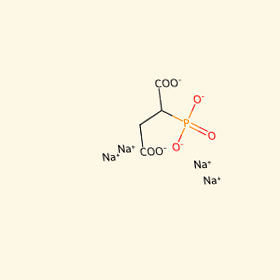 O=C([O-])CC(C(=O)[O-])P(=O)([O-])[O-].[Na+].[Na+].[Na+].[Na+]